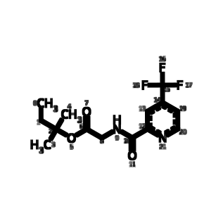 CCC(C)(C)OC(=O)CNC(=O)c1cc(C(F)(F)F)ccn1